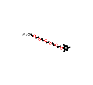 COCCOCCOCCOCCOCCOCCOc1c(C)cc(C)cc1C